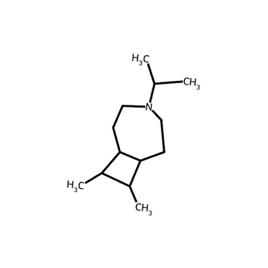 CC1C(C)C2CCN(C(C)C)CCC12